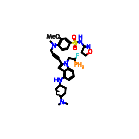 COc1cc(S(=O)(=O)NC2=NOCC2)ccc1N(C)CC#Cc1cc2c(NC3CCC(N(C)C)CC3)cccc2n1CC(F)P